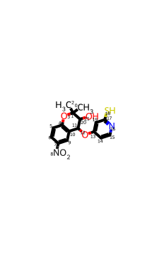 CC1(C)Oc2ccc([N+](=O)[O-])cc2C(Oc2ccnc(S)c2)C1O